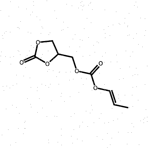 CC=COC(=O)OCC1COC(=O)O1